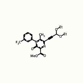 CCOC(C#Cc1nc(C(=O)OC)c(=O)n(-c2cccc(C(F)(F)F)c2)c1C)OCC